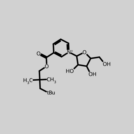 CC(C)(C)CC(C)(C)COC(=O)c1ccc[n+](C2OC(CO)C(O)C2O)c1